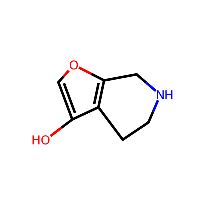 Oc1coc2c1CCNC2